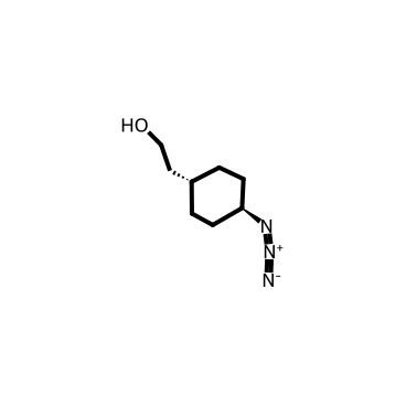 [N-]=[N+]=N[C@H]1CC[C@H](CCO)CC1